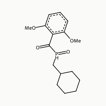 COc1cccc(OC)c1C(=O)[PH](=O)CC1CCCCC1